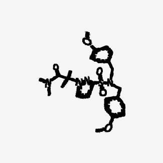 COc1ccc(CN(Cc2ccc(OC)cc2)S(=O)(=O)c2ccn(C(C)(C)C(=O)N(C)C)n2)cc1